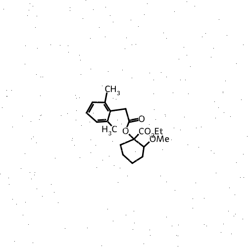 CCOC(=O)C1(OC(=O)Cc2c(C)cccc2C)CCCCC1OC